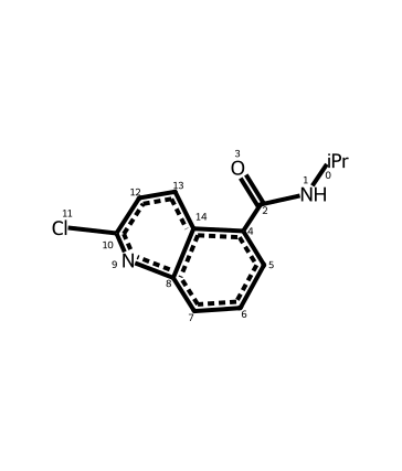 CC(C)NC(=O)c1cccc2nc(Cl)ccc12